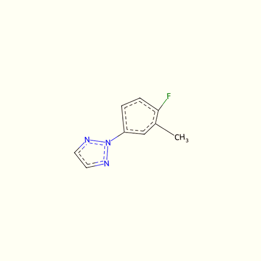 Cc1cc(-n2nccn2)ccc1F